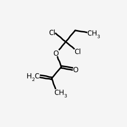 C=C(C)C(=O)OC(Cl)(Cl)CC